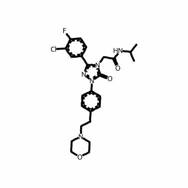 CC(C)NC(=O)Cn1c(-c2ccc(F)c(Cl)c2)nn(-c2ccc(CCN3CCOCC3)cc2)c1=O